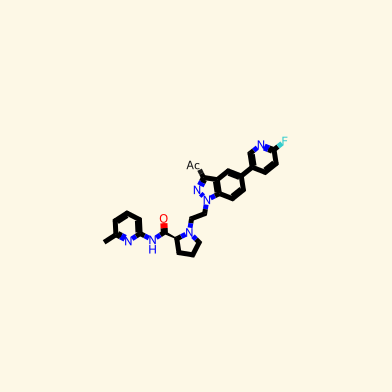 CC(=O)c1nn(CCN2CCC[C@H]2C(=O)Nc2cccc(C)n2)c2ccc(-c3ccc(F)nc3)cc12